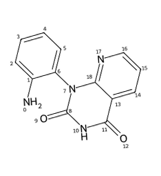 Nc1ccccc1-n1c(=O)[nH]c(=O)c2cccnc21